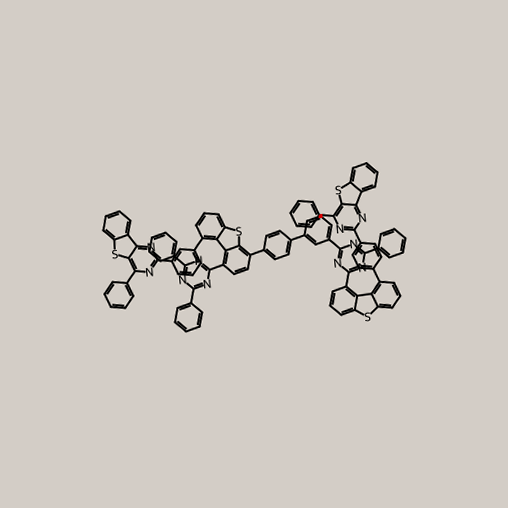 c1ccc(-c2nc(-c3cccc(-c4ccc(-c5ccc(-c6nc(-c7ccccc7)nc(-c7ccccc7)n6)c6c5sc5cccc(-c7cccc(-c8nc(-c9ccccc9)c9sc%10ccccc%10c9n8)c7)c56)cc4)c3)nc(-c3cccc4sc5cccc(-c6ccc(-c7nc(-c8ccccc8)c8sc9ccccc9c8n7)cc6)c5c34)n2)cc1